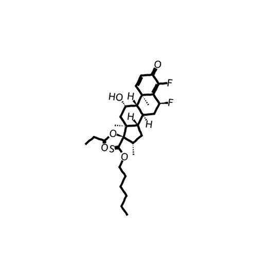 CCCCCCOC(=S)[C@@]1(OC(=O)CC)[C@@H](C)C[C@H]2[C@@H]3C[C@H](F)C4=C(F)C(=O)C=C[C@]4(C)[C@H]3[C@@H](O)C[C@@]21C